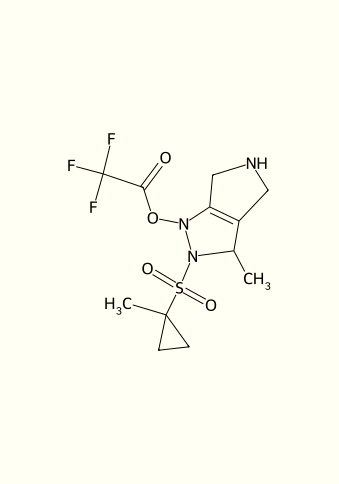 CC1C2=C(CNC2)N(OC(=O)C(F)(F)F)N1S(=O)(=O)C1(C)CC1